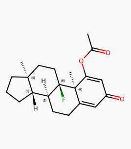 CC(=O)OC1=CC(=O)C=C2CC[C@H]3[C@@H]4CCC[C@@]4(C)CC[C@]3(F)[C@]21C